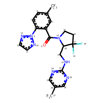 O=C(c1cc(C(F)(F)F)ccc1-n1nccn1)N1CCC(F)(F)C1CNc1ncc(C(F)(F)F)cn1